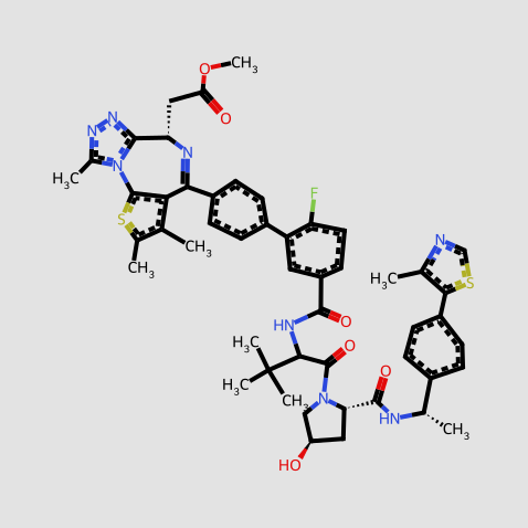 COC(=O)C[C@@H]1N=C(c2ccc(-c3cc(C(=O)NC(C(=O)N4C[C@H](O)C[C@H]4C(=O)N[C@@H](C)c4ccc(-c5scnc5C)cc4)C(C)(C)C)ccc3F)cc2)c2c(sc(C)c2C)-n2c(C)nnc21